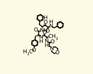 COc1ccc(C[C@H](NC(=O)[C@H](C)NC(=O)CN2CCOCC2)C(=O)NC(Cc2ccccc2)[C@H](O)C(=O)NCc2ccccc2)cc1